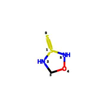 S=S1NCON1